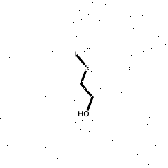 OCCSI